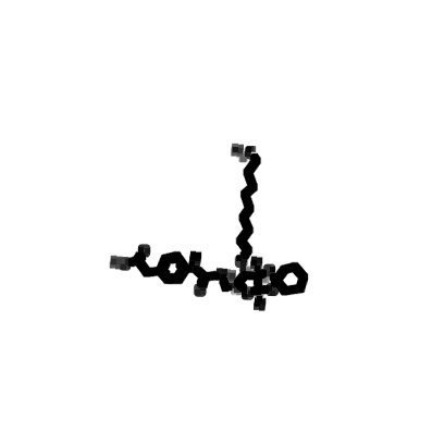 CCCCCCCCCCO[C@@H]1[C@H]2OC3(CCCCC3)O[C@H]2O[C@@H]1CNC(=O)Nc1ccc(CC(=O)O)cc1